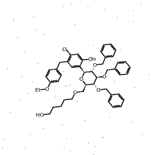 CCOc1ccc(Cc2cc([C@@H]3O[C@H](COCCCCCO)[C@@H](OCc4ccccc4)[C@H](OCc4ccccc4)[C@H]3OCc3ccccc3)c(O)cc2Cl)cc1